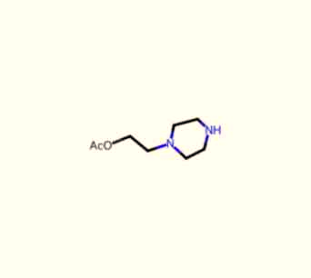 CC(=O)OCCN1CCNCC1